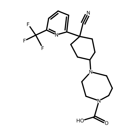 N#CC1(c2cccc(C(F)(F)F)n2)CCC(N2CCCN(C(=O)O)CC2)CC1